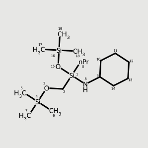 CCC[Si](CO[Si](C)(C)C)(NC1CCCCC1)O[Si](C)(C)C